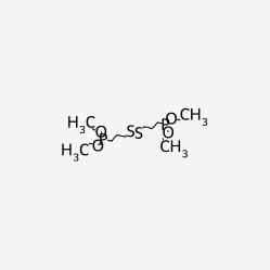 CCOP(CCCSSCCCP(OCC)OCC)OCC